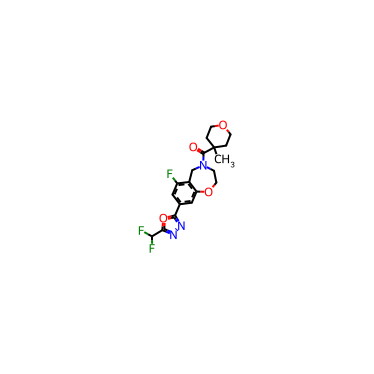 CC1(C(=O)N2CCOc3cc(-c4nnc(C(F)F)o4)cc(F)c3C2)CCOCC1